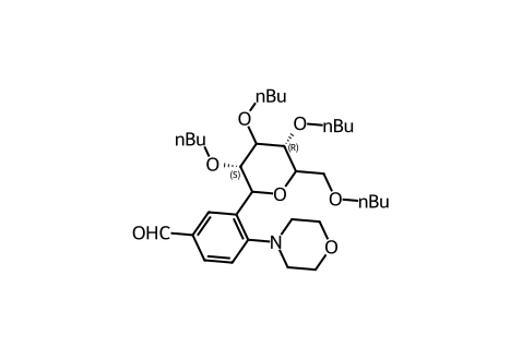 CCCCOCC1OC(c2cc(C=O)ccc2N2CCOCC2)[C@H](OCCCC)C(OCCCC)[C@@H]1OCCCC